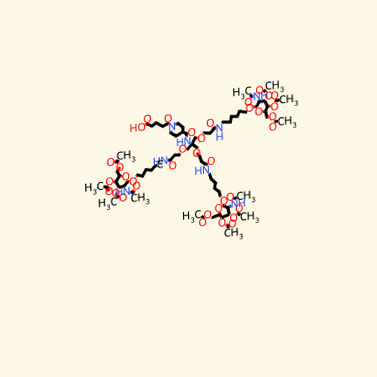 CC(=O)NC1C(OCCCCCCNC(=O)CCOCC(COCCC(=O)NCCCCCCOC2OC(COC(C)=O)C(OC(C)=O)C(OC(C)=O)C2NC(C)=O)(COCCC(=O)NCCCCCCOC2OC(COC(C)=O)C(OC(C)=O)C(OC(C)=O)C2NC(C)=O)NC(=O)C2CCN(C(=O)CCCC(=O)O)CC2)OC(COC(C)=O)C(OC(C)=O)C1OC(C)=O